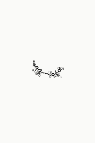 CCN1C(=O)CN(CCCCCCNC(=O)c2ccc(N3C(=S)N(c4ccc(C#N)c(C(F)(F)F)c4)C(=O)C3(C)C)cc2F)c2ncc(-c3ccc(-c4nc[nH]n4)nc3C)nc21